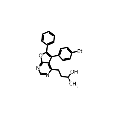 CCc1ccc(-c2c(-c3ccccc3)oc3ncnc(CC[C@H](C)O)c23)cc1